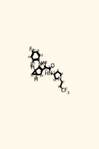 O=C(N[C@H]1CCN(CCC(F)(F)F)C1)c1nn(-c2ccc(F)cc2F)c2c1C[C@H]1C[C@@H]21